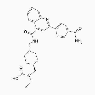 CCN(C[C@H]1CC[C@H](CNC(=O)c2cc(-c3ccc(C(N)=O)cc3)nc3ccccc23)CC1)C(=O)O